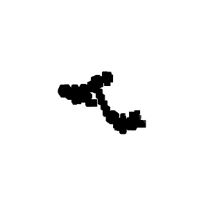 Cc1ncsc1-c1ccc(CNC(=O)C2C[C@H](O)CN2C(=O)C(C(C)C)N2Cc3ccccc3C2=O)c(OCCCOCCCOc2ccc(N3C(=S)N(c4ccc(C#N)c(C(F)(F)F)c4)C(=O)C3(C)C)cc2)c1